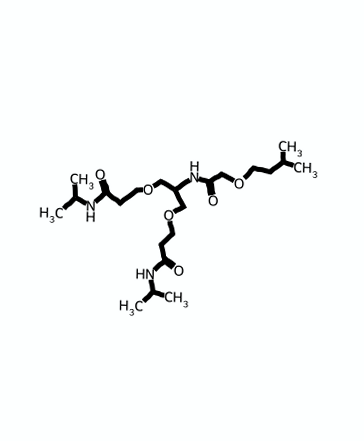 CC(C)CCOCC(=O)NC(COCCC(=O)NC(C)C)COCCC(=O)NC(C)C